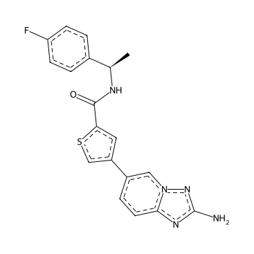 C[C@@H](NC(=O)c1cc(-c2ccc3nc(N)nn3c2)cs1)c1ccc(F)cc1